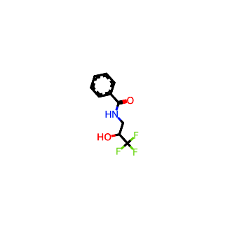 O=C(NCC(O)C(F)(F)F)c1ccccc1